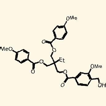 CCC(COC(=O)c1ccc(OC)cc1)(COC(=O)c1ccc(OC)cc1)COC(=O)c1ccc(CO)c(OC)c1